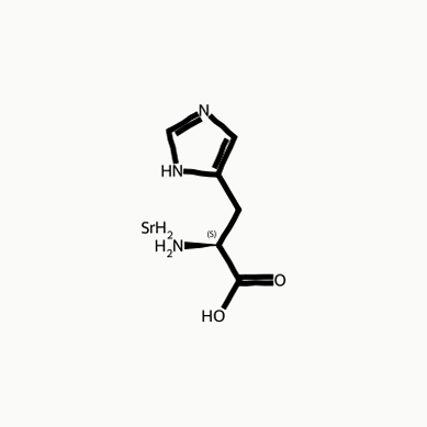 N[C@@H](Cc1cnc[nH]1)C(=O)O.[SrH2]